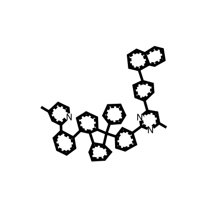 Cc1ccnc(-c2ccccc2-c2cccc3c2-c2ccccc2C3(c2ccccc2)c2cccc(-c3nc(C)cc(-c4ccc(-c5cccc6ccccc56)cc4)n3)c2)c1